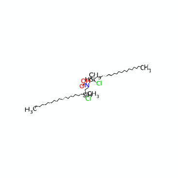 CCCCCCCCCCCCCCCCCC[SiH](CCl)C(C)CCN(CCC(C)[SiH](CCl)CCCCCCCCCCCCCCCCCC)C(=O)O